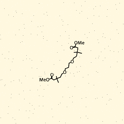 COC(=O)CC(C)(C)CCOCCCOCCC(C)(C)CC(=O)OC